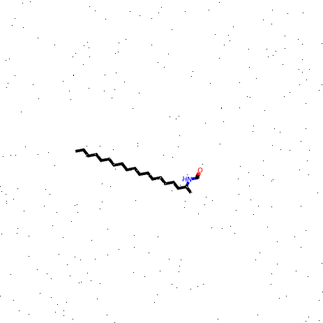 CCCCCCCCCCCCCCCCCC(C)N[C]=O